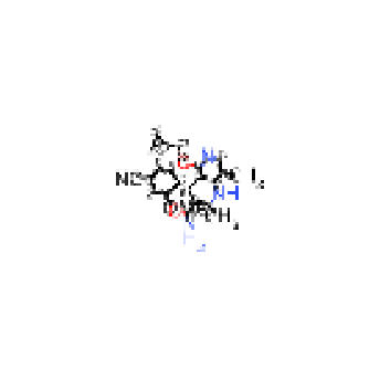 COc1cc(C#N)ccc1[C@H]1C(C(N)=O)=C(C)Nc2c(C)cnc(OCC3CC3)c21